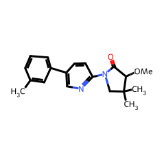 COC1C(=O)N(c2ccc(-c3cccc(C)c3)cn2)CC1(C)C